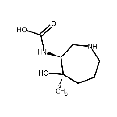 C[C@@]1(O)CCCNC[C@@H]1NC(=O)O